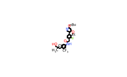 CCCCOc1cc(OCC)c(-c2ccc(CC(=O)Nc3ccc(CC(C)(C)CO)c(C(F)(F)F)c3)c(F)c2)cn1